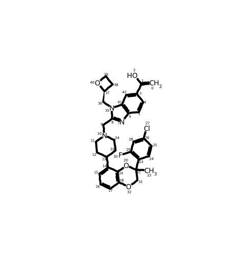 C=C(O)c1ccc2nc(CN3CCC(c4cccc5c4OC(C)(c4ccc(Cl)cc4F)CO5)CC3)n(C[C@@H]3CCO3)c2c1